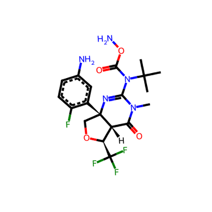 CN1C(=O)[C@@H]2[C@@H](C(F)(F)F)OC[C@]2(c2cc(N)ccc2F)N=C1N(C(=O)ON)C(C)(C)C